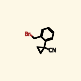 N#CC1(c2ccccc2CBr)CC1